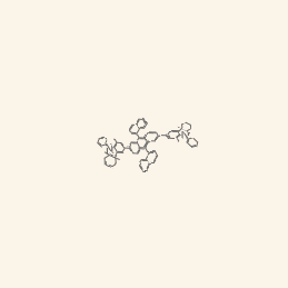 Cc1cc(-c2ccc3c(-c4cccc5ccccc45)c4cc(-c5cc(C)c6c(c5)C5(C)CCCCC5(C)N6c5ccccc5)ccc4c(-c4cccc5ccccc45)c3c2)cc2c1N(c1ccccc1)C1(C)CCCCC21C